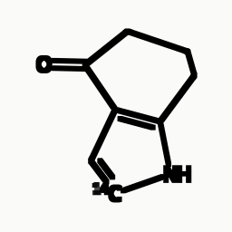 O=C1CCCc2[nH][14cH]cc21